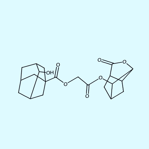 O=C(COC(=O)C12CC3CC(C1)C(O)C(C3)C2)OC1C2CC3C(=O)OC1C3C2